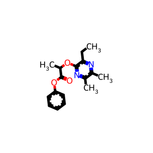 CCc1nc(C)c(C)nc1OC(C)C(=O)Oc1ccccc1